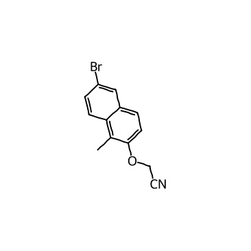 Cc1c(OCC#N)ccc2cc(Br)ccc12